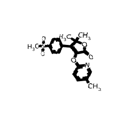 Cc1ccc(OC2=C(c3ccc(S(C)(=O)=O)cc3)C(C)(C)OC2=O)nc1